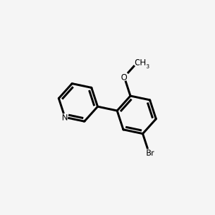 COc1ccc(Br)cc1-c1cccnc1